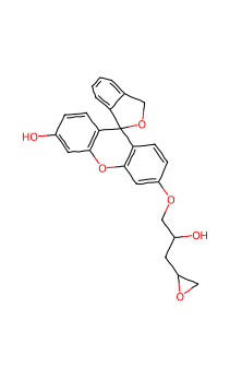 Oc1ccc2c(c1)Oc1cc(OCC(O)CC3CO3)ccc1C21OCc2ccccc21